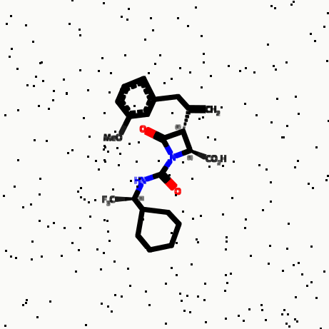 C=C(Cc1cccc(OC)c1)[C@H]1C(=O)N(C(=O)N[C@@H](C2CCCCC2)C(F)(F)F)[C@@H]1C(=O)O